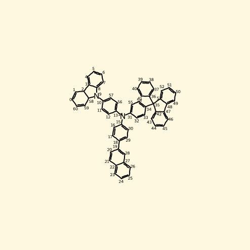 C1=CC2c3ccccc3N(c3ccc(N(c4ccc(-c5ccc6ccccc6c5)cc4)c4ccc(C5(c6ccccc6)c6ccccc6-c6ccccc65)cc4)cc3)C2C=C1